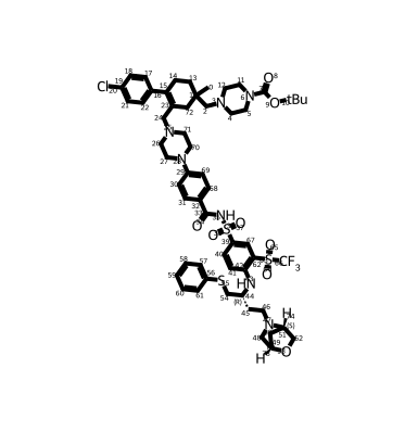 CC1(CN2CCN(C(=O)OC(C)(C)C)CC2)CCC(c2ccc(Cl)cc2)=C(CN2CCN(c3ccc(C(=O)NS(=O)(=O)c4ccc(N[C@H](CCN5C[C@@H]6C[C@H]5CO6)CSc5ccccc5)c(S(=O)(=O)C(F)(F)F)c4)cc3)CC2)C1